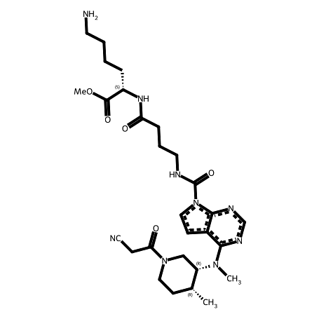 COC(=O)[C@H](CCCCN)NC(=O)CCCNC(=O)n1ccc2c(N(C)[C@H]3CN(C(=O)CC#N)CC[C@H]3C)ncnc21